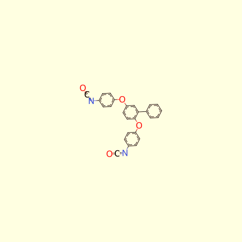 O=C=Nc1ccc(Oc2ccc(Oc3ccc(N=C=O)cc3)c(-c3ccccc3)c2)cc1